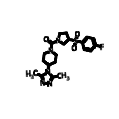 Cc1nnc(C)n1C1CCN(C(=O)N2CCC(S(=O)(=O)c3ccc(F)cc3)C2)CC1